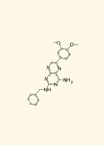 COc1ccc(-c2cnc3nc(NCc4ccccc4)nc(N)c3n2)cc1OC